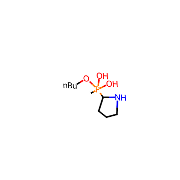 CCCCOP(C)(O)(O)C1CCCN1